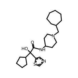 O=C(NC1CCN(CC2CCCCCC2)CC1)C(O)(c1cncs1)C1CCCC1